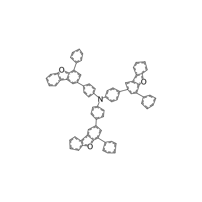 c1ccc(-c2cc(-c3ccc(N(c4ccc(-c5cc(-c6ccccc6)c6oc7ccccc7c6c5)cc4)c4ccc(-c5cc(-c6ccccc6)c6oc7ccccc7c6c5)cc4)cc3)cc3c2oc2ccccc23)cc1